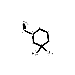 C=NN1CCCC(C)(C)C1